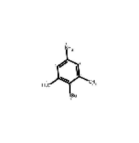 Cc1cc(N)cc(C)c1C(C)(C)C